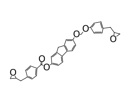 O=C(Oc1ccc2c(c1)Cc1cc(OCOc3ccc(CC4CO4)cc3)ccc1-2)c1ccc(CC2CO2)cc1